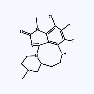 Cc1c(F)c2c3c(nc(=O)n(I)c3c1Cl)N1CCN(C)CC1CCN2